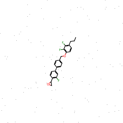 CCCc1ccc(OCc2ccc(-c3ccc(C4CO4)c(F)c3)cc2)c(F)c1F